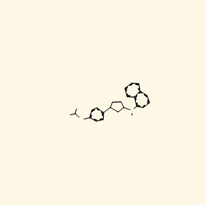 CCOC(=O)C(CC)Oc1ccc(C2CCC(N(CC)c3cccc4ccccc34)C2)cc1